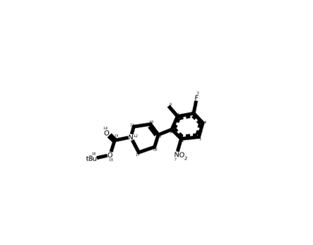 Cc1c(F)ccc([N+](=O)[O-])c1C1=CCN(C(=O)OC(C)(C)C)CC1